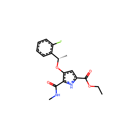 CCOC(=O)c1cc(O[C@@H](C)c2ccccc2F)c(C(=O)NC)[nH]1